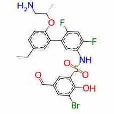 CCc1ccc(O[C@@H](C)CN)c(-c2cc(NS(=O)(=O)c3cc(C=O)cc(Br)c3O)c(F)cc2F)c1